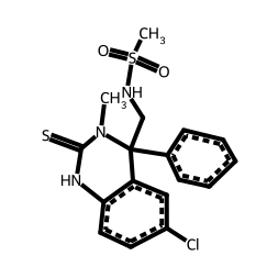 CN1C(=S)Nc2ccc(Cl)cc2C1(CNS(C)(=O)=O)c1ccccc1